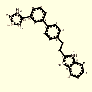 c1cc(-c2ccc(CCc3nc4ccccc4[nH]3)cc2)cc(-c2nnn[nH]2)c1